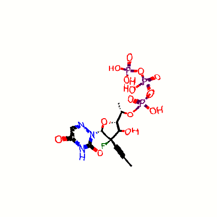 CC#C[C@@]1(F)C(O)[C@@H]([C@H](C)OP(=O)(O)OP(=O)(O)OP(=O)(O)O)O[C@H]1n1ncc(=O)[nH]c1=O